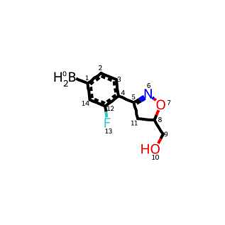 Bc1ccc(C2=NOC(CO)C2)c(F)c1